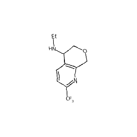 CCNC1COCc2nc(C(F)(F)F)ccc21